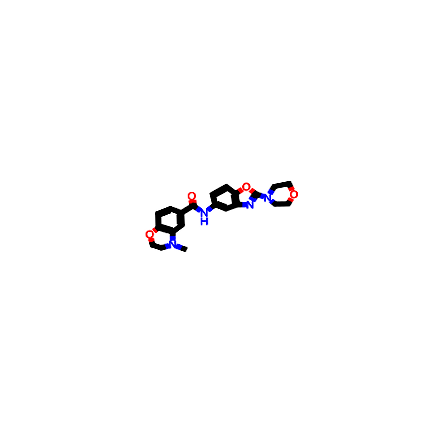 CN1CCOc2ccc(C(=O)Nc3ccc4oc(N5CCOCC5)nc4c3)cc21